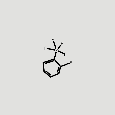 Fc1ccccc1P(F)(F)(F)F